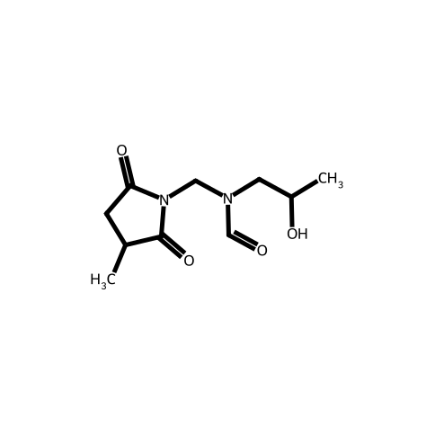 CC(O)CN(C=O)CN1C(=O)CC(C)C1=O